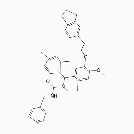 COc1cc2c(cc1OCCc1ccc3c(c1)CCC3)C(c1ccc(C)cc1C)N(C(=O)NCc1ccncc1)CC2